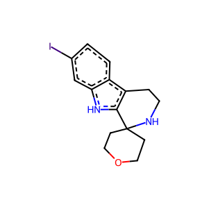 Ic1ccc2c3c([nH]c2c1)C1(CCOCC1)NCC3